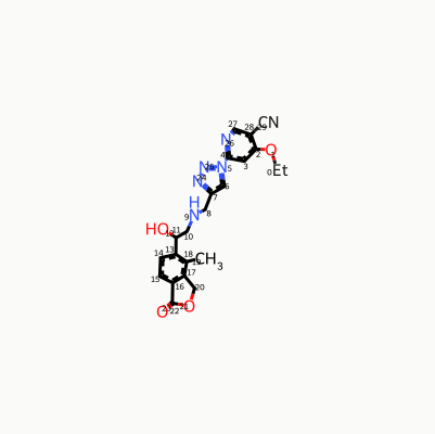 CCOc1cc(-n2cc(CNCC(O)c3ccc4c(c3C)COC4=O)nn2)ncc1C#N